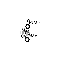 CNC(=O)c1ccc(S(=O)(=O)NNC(=O)c2ccccc2OC)cc1